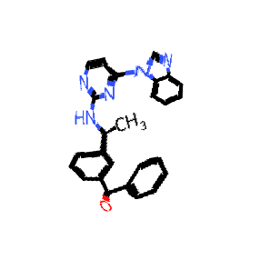 C[C@H](Nc1nccc(-n2cnc3ccccc32)n1)c1cccc(C(=O)c2ccccc2)c1